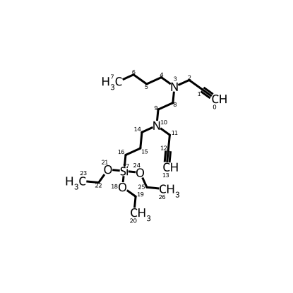 C#CCN(CCCC)CCN(CC#C)CCC[Si](OCC)(OCC)OCC